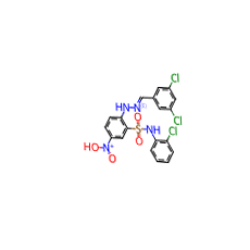 O=[N+](O)c1ccc(N/N=C/c2cc(Cl)cc(Cl)c2)c(S(=O)(=O)Nc2ccccc2Cl)c1